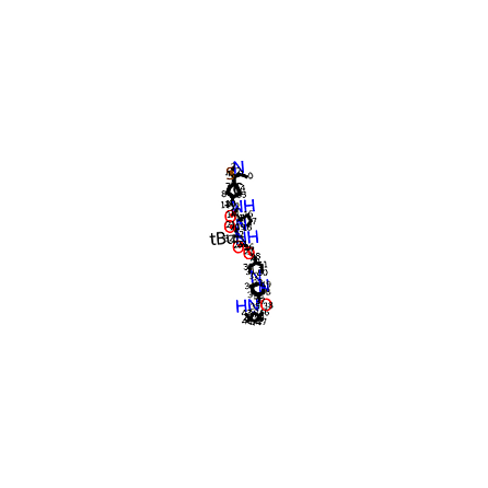 Cc1ncsc1-c1ccc([C@H](C)NC(=O)[C@@H]2CCCN2C(=O)C(NC(=O)COCC2CCN(c3ccc(C(=O)NC4C(C)(C)CC4(C)C)cn3)CC2)C(C)(C)C)cc1